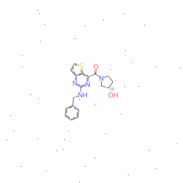 O=C(c1nc(NCc2ccccc2)nc2ccsc12)N1CC[C@H](O)C1